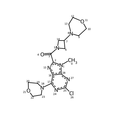 Cn1c(C(=O)N2CC(N3CCOCC3)C2)nc2c(N3CCOCC3)nc(Cl)nc21